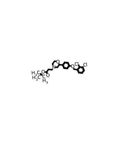 CC(C)(C)OC(=O)CCN1CCOC(c2ccc(OCc3cccc(Cl)c3Cl)cc2)C1